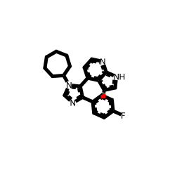 Fc1ccc(-c2ncn(C3CCCCCC3)c2-c2ccnc3[nH]cc(F)c23)cc1